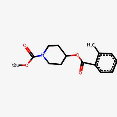 Cc1ccccc1C(=O)OC1CCN(C(=O)OC(C)(C)C)CC1